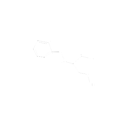 COCC(CF)OSc1ccccc1